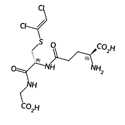 N[C@@H](CCC(=O)N[C@@H](CSC(Cl)=CCl)C(=O)NCC(=O)O)C(=O)O